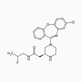 CC(F)CNC(=O)C[C@H]1CN(C2=Nc3cc(Cl)ccc3Oc3ccccc32)CCN1